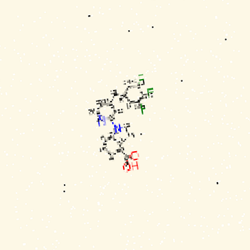 O=C(O)c1cccc2c1CCN2c1cc(Cc2cc(F)c(F)c(F)c2)ccn1